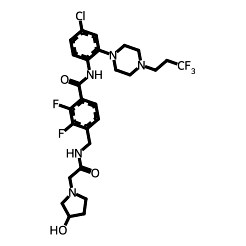 O=C(CN1CCC(O)C1)NCc1ccc(C(=O)Nc2ccc(Cl)cc2N2CCN(CCC(F)(F)F)CC2)c(F)c1F